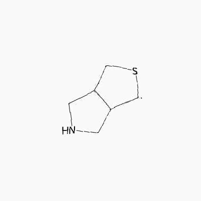 [CH]1SCC2CNCC12